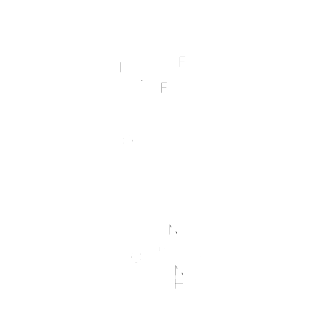 O=c1[nH]ccn1-c1ccc(OCCC(F)(F)C(F)F)cc1